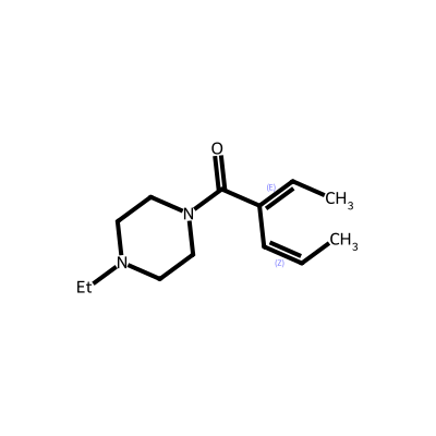 C/C=C\C(=C/C)C(=O)N1CCN(CC)CC1